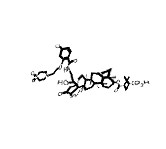 CC(C)C1=C2[C@H]3CC[C@]4(C)[C@@]5(C)CC[C@H](OC(=O)[C@H]6C[C@@H](C(=O)O)C6(C)C)[C@@]6(C)CC[C@@]56CC[C@@]4(C)[C@]3(C)CC[C@@]2([C@@H](O)CNC(=O)c2ccc(Cl)cc2OCCN2CCS(=O)(=O)CC2)CC1=O